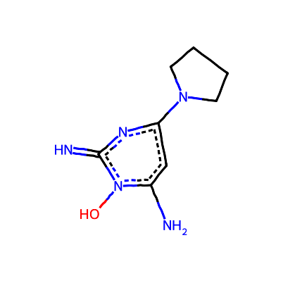 N=c1nc(N2CCCC2)cc(N)n1O